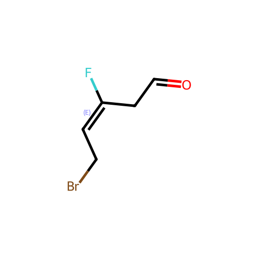 O=CC/C(F)=C\CBr